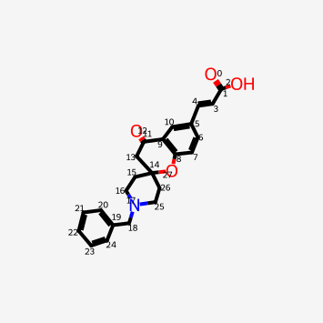 O=C(O)C=Cc1ccc2c(c1)C(=O)CC1(CCN(Cc3ccccc3)CC1)O2